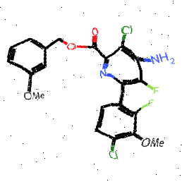 COc1cccc(COC(=O)c2nc(-c3ccc(Cl)c(OC)c3F)c(F)c(N)c2Cl)c1